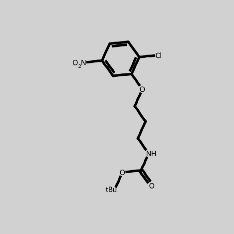 CC(C)(C)OC(=O)NCCCOc1cc([N+](=O)[O-])ccc1Cl